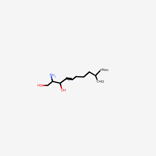 CCCCCCCCCC(C=O)CCC/C=C/C(O)C(N)CO